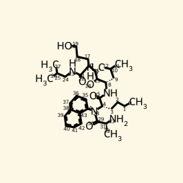 CCCC[C@@H](C(=O)N[C@@H](CC(C)C)[C@@H](O)CC(CCCO)C(=O)NCC(C)C)N(C(=O)[C@H](C)N)c1cccc2ccccc12